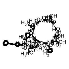 CC(CC(=O)O)[C@@H]1NC(=O)[C@@H](CO)NC(=O)CNC(=O)[C@H](CC(=O)O)NC(=O)[C@@H](C)NC(=O)[C@H](C)NC(=O)[C@H](CCCN)NC(=O)CNC(=O)[C@@H](NC(=O)[C@H](C)NC(=O)[C@@H](CC(N)=O)NC(=O)[C@H](Cc2c[nH]c3ccccc23)NC(=O)c2ccc(C#Cc3ccccc3)cc2)[C@@H](C)OC(=O)[C@H](CC(=O)c2ccccc2N)NC1=O